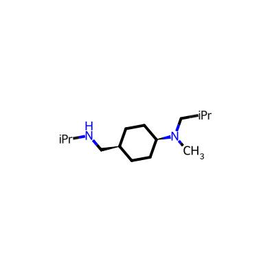 CC(C)CN(C)[C@H]1CC[C@@H](CNC(C)C)CC1